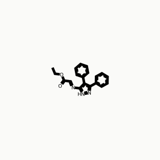 CCOC(=O)C=Nc1[nH]nc(-c2ccccc2)c1-c1ccccc1